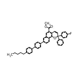 CCCCCc1ccc(-c2ccc(-c3ccc4c5c(c(C(=O)OC)cc4c3)C=CC(c3ccccc3)(c3ccc(F)cc3)O5)cc2)cc1